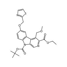 CCOC(=O)c1ncc2c(c1COC)c1cc(OCc3nccs3)ccc1n2C(=O)OC(C)(C)C